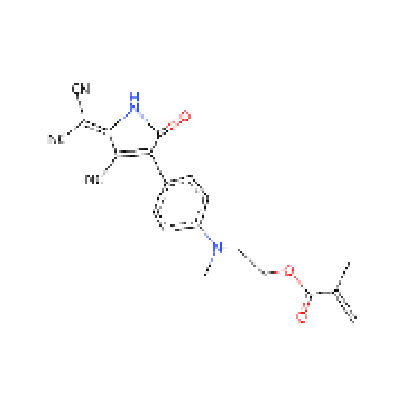 C=C(C)C(=O)OCCN(C)c1ccc(C2=C(C#N)C(=C(C#N)C#N)NC2=O)cc1